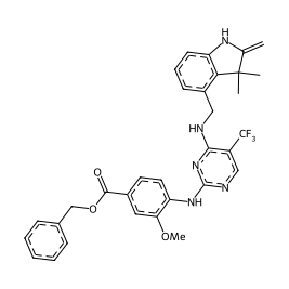 C=C1Nc2cccc(CNc3nc(Nc4ccc(C(=O)OCc5ccccc5)cc4OC)ncc3C(F)(F)F)c2C1(C)C